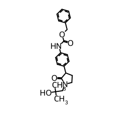 CC(C)(O)CN1CCC(c2ccc(NC(=O)OCc3ccccc3)cc2)C1=O